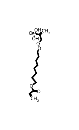 C=CC(=O)OCCCCCCCCOOCC(=C)P(=O)(O)O